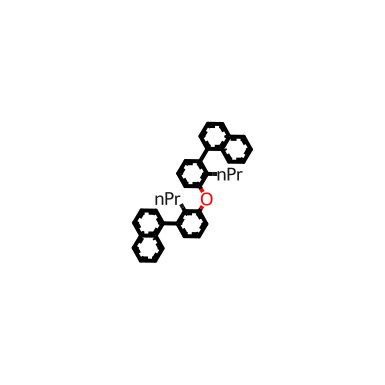 CCCc1c(Oc2cccc(-c3cccc4ccccc34)c2CCC)cccc1-c1cccc2ccccc12